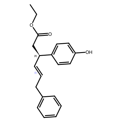 CCOC(=O)C[C@H](/C=C/Cc1ccccc1)c1ccc(O)cc1